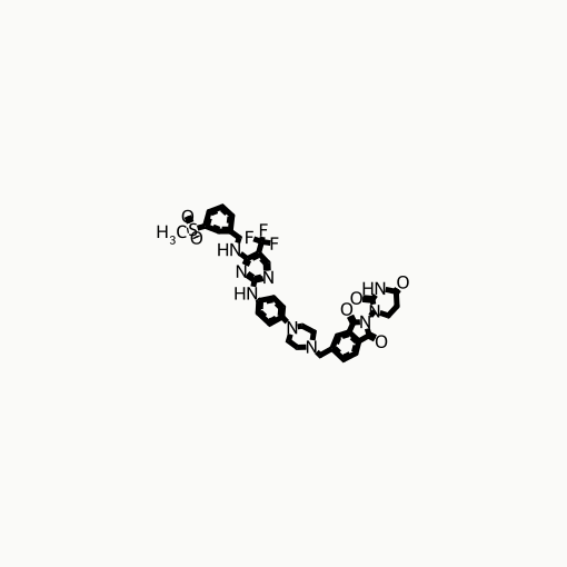 CS(=O)(=O)c1cccc(CNc2nc(Nc3ccc(N4CCN(Cc5ccc6c(c5)C(=O)N(N5CCC(=O)NC5=O)C6=O)CC4)cc3)ncc2C(F)(F)F)c1